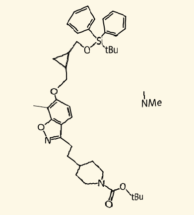 CNC.Cc1c(OCC2CC2CO[Si](c2ccccc2)(c2ccccc2)C(C)(C)C)ccc2c(CCC3CCN(C(=O)OC(C)(C)C)CC3)noc12